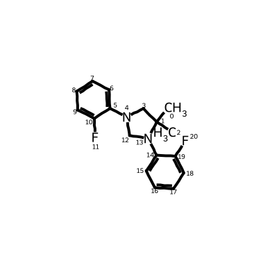 CC1(C)CN(c2ccccc2F)CN1c1ccccc1F